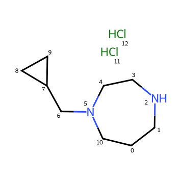 C1CNCCN(CC2CC2)C1.Cl.Cl